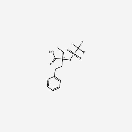 CC[C@](CCc1ccccc1)(OS(=O)(=O)C(F)(F)F)C(=O)O